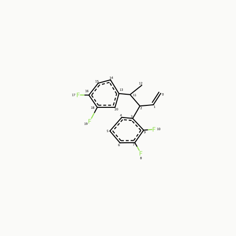 C=CC(c1cccc(F)c1F)C(C)c1ccc(F)c(F)c1